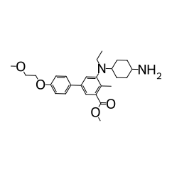 CCN(c1cc(-c2ccc(OCCOC)cc2)cc(C(=O)OC)c1C)C1CCC(N)CC1